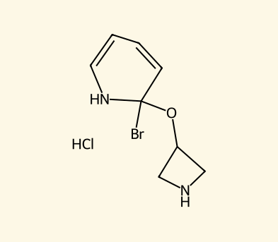 BrC1(OC2CNC2)C=CC=CN1.Cl